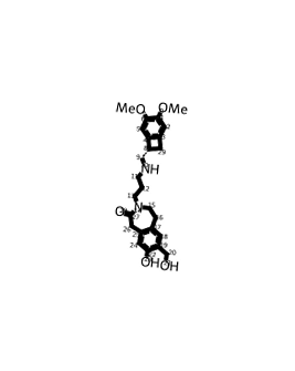 COc1cc2c(cc1OC)[C@@H](CNCCCN1CCc3cc(CO)c(O)cc3CC1=O)C2